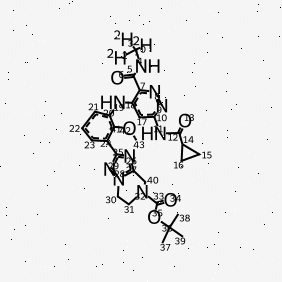 [2H]C([2H])([2H])NC(=O)c1nnc(NC(=O)C2CC2)cc1Nc1cccc(-c2nc3n(n2)CCN(C(=O)OC(C)(C)C)C3)c1OC